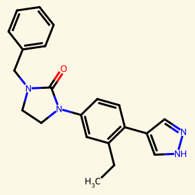 CCc1cc(N2CCN(Cc3ccccc3)C2=O)ccc1-c1cn[nH]c1